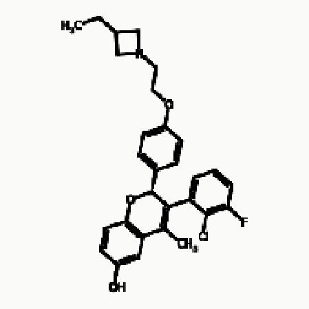 CCC1CN(CCOc2ccc([C@@H]3Oc4ccc(O)cc4C(C)=C3c3cccc(F)c3Cl)cc2)C1